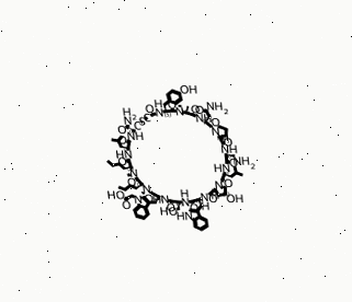 CCCC[C@H]1C(=O)N(C)[C@@H](CCCC)C(=O)N[C@@H](CC(C)C)C(=O)N[C@H](C(N)=O)CSCC(=O)N[C@@H](Cc2ccc(O)cc2)C(=O)N(C)[C@@H](C)C(=O)N[C@@H](CC(N)=O)C(=O)N2CCC[C@H]2C(=O)N[C@@H](CN)C(=O)N[C@@H](CC(C)C)C(=O)N2C[C@H](O)C[C@H]2C(=O)N[C@@H](Cc2c[nH]c3ccccc23)C(=O)N[C@@H](CO)C(=O)N[C@@H](Cc2cn(CC(=O)O)c3ccccc23)C(=O)N1C